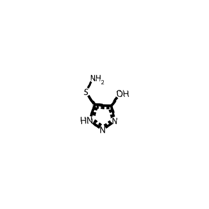 NSc1[nH]nnc1O